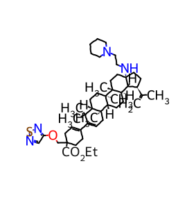 C=C(C)[C@@H]1CC[C@]2(NCCN3CCCCC3)CC[C@]3(C)[C@H](CC[C@@H]4[C@@]5(C)CC=C(C6=CCC(COc7cnsn7)(C(=O)OCC)CC6)C(C)(C)[C@@H]5CC[C@]43C)[C@@H]12